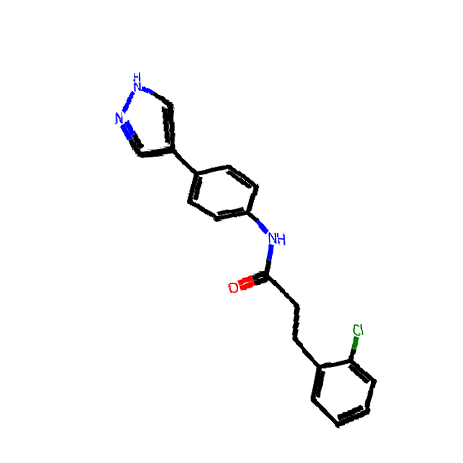 O=C(CCc1ccccc1Cl)Nc1ccc(-c2cn[nH]c2)cc1